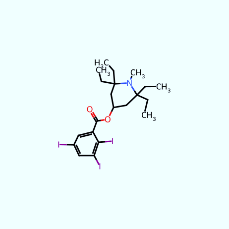 CCC1(CC)CC(OC(=O)c2cc(I)cc(I)c2I)CC(CC)(CC)N1C